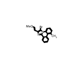 COC=Cc1nc2c3ccccc3c3c(C)cccc3n2c1Br